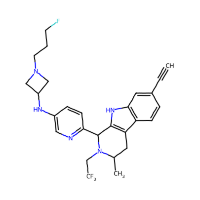 C#Cc1ccc2c3c([nH]c2c1)C(c1ccc(NC2CN(CCCF)C2)cn1)N(CC(F)(F)F)C(C)C3